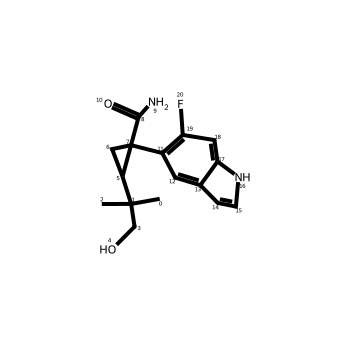 CC(C)(CO)C1CC1(C(N)=O)c1cc2cc[nH]c2cc1F